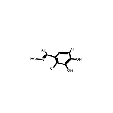 CC(=O)C(=NO)c1cc(Cl)c(O)c(O)c1Cl